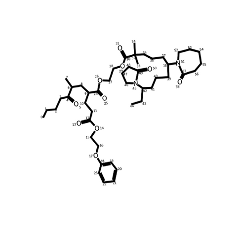 CCCCC(=O)C(C)CC(CCC(=O)OCCOc1ccccc1)C(=O)OCCOC(=O)C(C)(C)CCCC(CCCC(CC)N1CCCC1=O)N1CCCCCC1=O